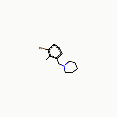 Cc1c(Br)cccc1CN1CCCCC1